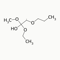 CCCO[CH]C(O)(OC)OCC